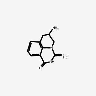 Cl.NC1Cc2cccc3c(=O)[nH]c(=O)n(c23)C1